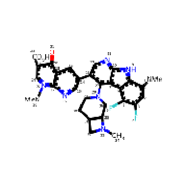 CNc1cc(F)c(F)c2c1[nH]c1ncc(-c3cnc4c(c3)c(=O)c(C(=O)O)cn4NC)c(N3CCC4CN(C)C4C3)c12